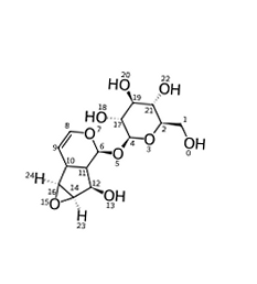 OC[C@H]1O[C@@H](O[C@@H]2OC=CC3C2[C@@H](O)[C@H]2O[C@@H]32)[C@H](O)[C@@H](O)[C@@H]1O